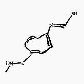 CNSc1ccc(N=CS)cc1